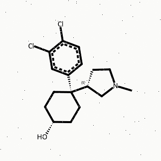 CN1CC[C@@H]([C@]2(c3ccc(Cl)c(Cl)c3)CC[C@@H](O)CC2)C1